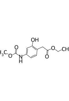 CCOC(=O)Cc1ccc(NC(=O)OC)cc1O